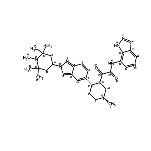 C[C@H]1CC[C@H](c2ccc3nn(C4CC(C)(C)N(C)C(C)(C)C4)cc3c2)N(C(=O)C(=O)Nc2cncc3cn[nH]c23)C1